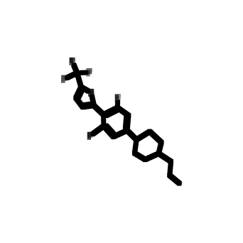 CCCC1CCC(c2cc(F)c(-c3ccc(C(F)(F)F)s3)c(F)c2)CC1